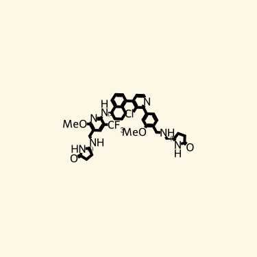 COc1cc(-c2nccc(-c3cccc4c3CCC[C@@H]4Nc3nc(OC)c(CN[C@@H]4CCC(=O)N4)cc3C(F)(F)F)c2Cl)ccc1CNC[C@H]1CCC(=O)N1